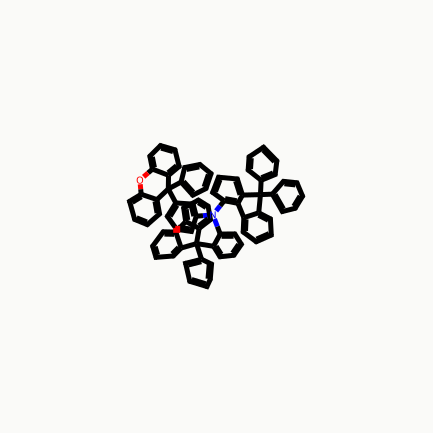 c1ccc(C2(c3cccc(N(c4ccccc4C4(c5ccccc5)c5ccccc5-c5ccccc54)c4cccc5c4-c4ccccc4C5(c4ccccc4)c4ccccc4)c3)c3ccccc3Oc3ccccc32)cc1